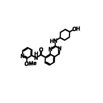 COc1ncccc1NC(=O)c1cccc2cnc(NC3CCC(O)CC3)nc12